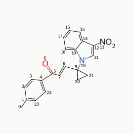 Cc1ccc(C(=O)/C=C/C2(n3cc([N+](=O)[O-])c4ccccc43)CC2)cc1